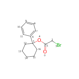 O=C(CBr)OC1(c2ccccc2)CCCCC1